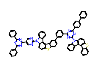 c1ccc(-c2ccc(-c3nc(-c4cccc(-c5ccc6sc7ccc8c(c9ccccc9n8-c8ncc(-c9nc(-c%10ccccc%10)nc(-c%10ccccc%10)n9)cn8)c7c6c5)c4)nc(-n4c5ccccc5c5c6c(ccc54)sc4ccccc46)n3)cc2)cc1